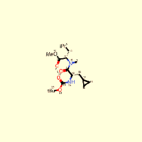 COC(=O)[C@H](CC(C)C)N(C)C(=O)[C@H](CC1CC1)NC(=O)OC(C)(C)C